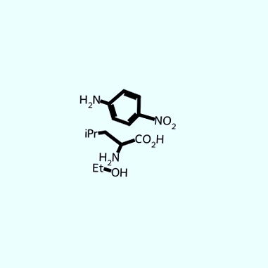 CC(C)CC(N)C(=O)O.CCO.Nc1ccc([N+](=O)[O-])cc1